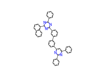 c1ccc(-c2cc(-c3cccc(-c4cccc(-c5nc(-c6ccccc6)nc(-c6cccc7ccccc67)n5)c4)c3)nc(-c3ccccc3)n2)cc1